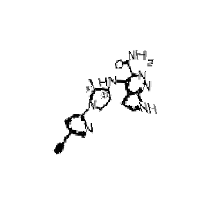 C#Cc1ccc(N2CC[C@H](Nc3c(C(N)=O)nnc4[nH]ccc34)[C@H](C)C2)nc1